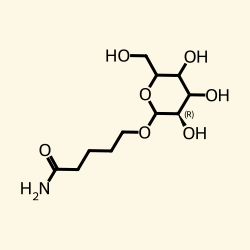 NC(=O)CCCCOC1OC(CO)C(O)C(O)[C@H]1O